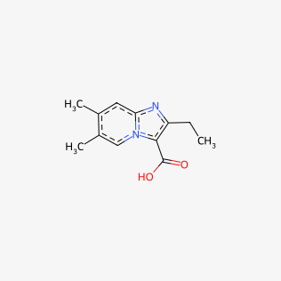 CCc1nc2cc(C)c(C)cn2c1C(=O)O